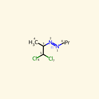 CC(C)/N=N/C(C)C(Cl)Cl